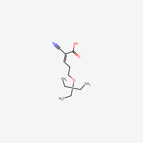 CC[Si](CC)(CC)OCCC=C(C#N)C(=O)O